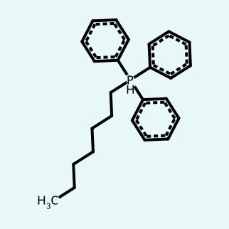 CCCCCCC[PH](c1ccccc1)(c1ccccc1)c1ccccc1